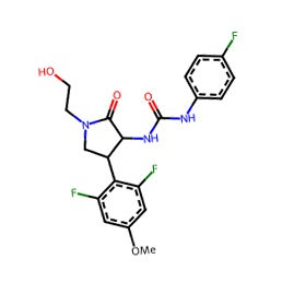 COc1cc(F)c(C2CN(CCO)C(=O)C2NC(=O)Nc2ccc(F)cc2)c(F)c1